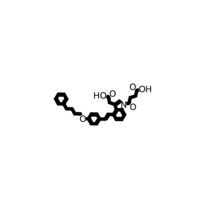 O=C(O)CCC(=O)n1cc(CC(=O)O)c2c(C=Cc3ccc(OCCCCc4ccccc4)cc3)cccc21